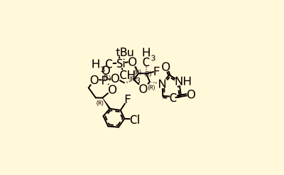 CC(C)(C)[Si](C)(C)O[C@@H]1[C@@H](CO[P@]2(=O)OCC[C@H](c3cccc(Cl)c3F)O2)O[C@@H](n2ccc(=O)[nH]c2=O)[C@]1(C)F